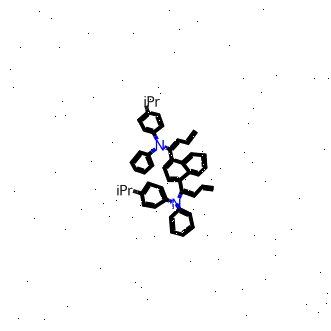 C=C/C=C(\c1ccc(/C(=C\C=C)N(c2ccccc2)c2ccc(C(C)C)cc2)c2ccccc12)N(c1ccccc1)c1ccc(C(C)C)cc1